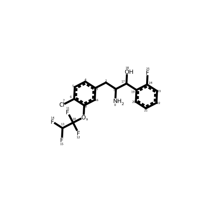 NC(Cc1ccc(Cl)c(OC(F)(F)C(F)F)c1)C(O)c1ccccc1F